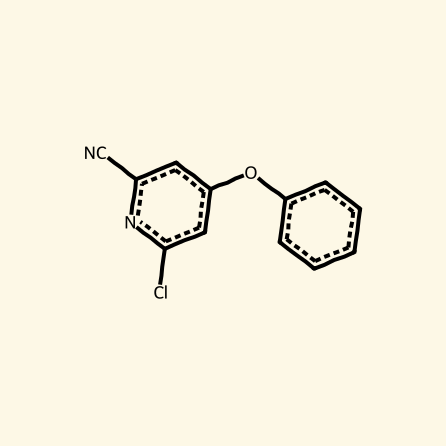 N#Cc1cc(Oc2ccccc2)cc(Cl)n1